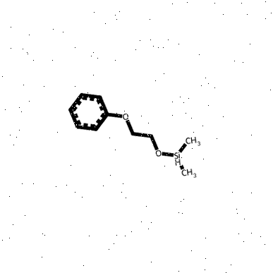 C[SiH](C)OCCOc1ccccc1